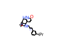 C/C=C1\C2C=C(C)CC1(/N=C/C=C/c1cccc(C(C)C)c1)c1ccc(=O)[nH]c1C2